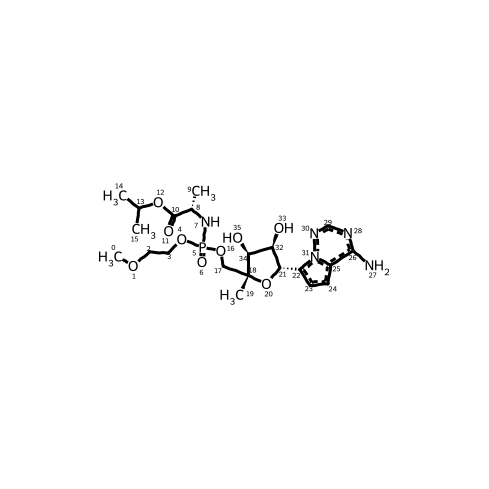 COCCOP(=O)(N[C@@H](C)C(=O)OC(C)C)OC[C@@]1(C)O[C@@H](c2ccc3c(N)ncnn23)[C@H](O)[C@@H]1O